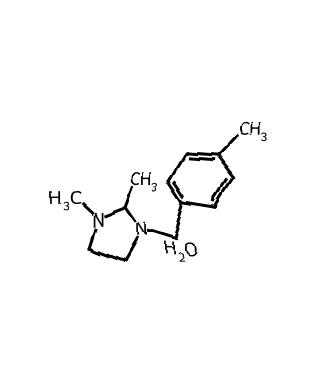 Cc1ccc(CN2CCN(C)C2C)cc1.O